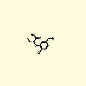 CC[C@@H](Oc1cc(CBr)ccc1Cl)C(=O)O